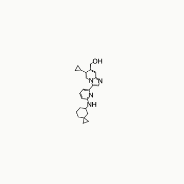 OCc1cc2ncc(-c3cccc(NC4CCCC5(CC5)C4)n3)n2cc1C1CC1